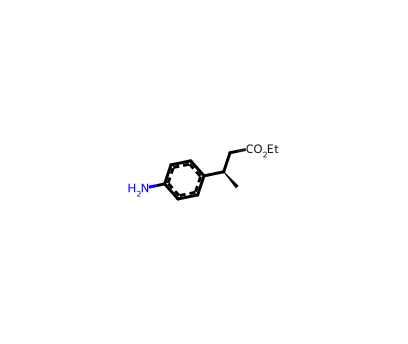 CCOC(=O)C[C@@H](C)c1ccc(N)cc1